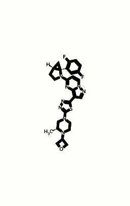 C[C@@H]1CN(c2nnc(-c3cnn4ccc(N5CC[C@H]6C[C@]65c5cc(F)ccc5F)nc34)s2)CCN1C1COC1